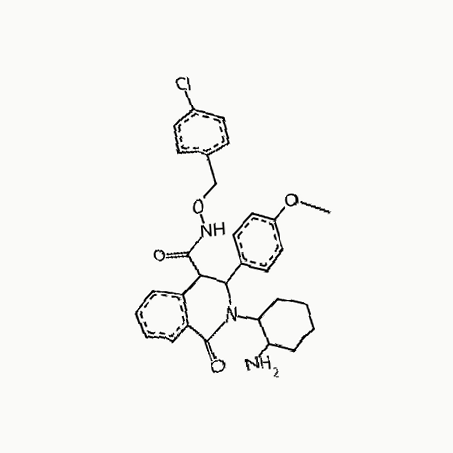 COc1ccc(C2C(C(=O)NOCc3ccc(Cl)cc3)c3ccccc3C(=O)N2C2CCCCC2N)cc1